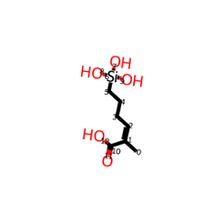 CC(=CCCC[Si](O)(O)O)C(=O)O